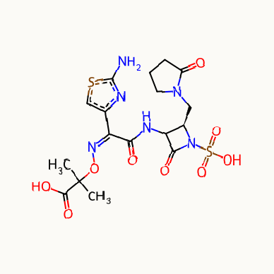 CC(C)(O/N=C(\C(=O)NC1C(=O)N(S(=O)(=O)O)[C@@H]1CN1CCCC1=O)c1csc(N)n1)C(=O)O